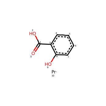 O=C(O)c1ccccc1O.[Pr]